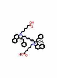 CC1(Cc2ccccc2)C(/C=C/C=C/C=C2/N(CCCCCC(=O)O)c3ccc4ccccc4c3C2(C)Cc2ccccc2)=[N+](CCCCCC(=O)O)c2ccc3ccccc3c21